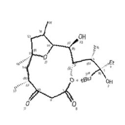 CC[C@@](O)([C@@H](C)[C@@H]1OC(=O)CC(=O)[C@H](C)C[C@@]2(C)CC(C)C(O2)[C@H]1O)C(C)(C)C